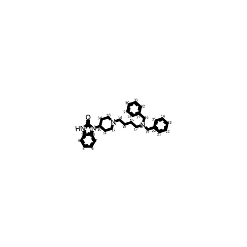 O=c1[nH]c2ccccc2n1C1CCN(CCCCN(Cc2ccccc2)Cc2ccccc2)CC1